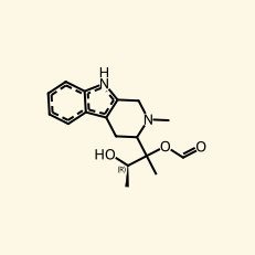 C[C@@H](O)C(C)(OC=O)C1Cc2c([nH]c3ccccc23)CN1C